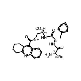 CC[C@H](C)[C@H](N)C(=O)N[C@@H](Cc1ccccc1)C(=O)N[C@@H](CNC(=O)c1c2c(nc3ccccc13)CCCC2)C(=O)O